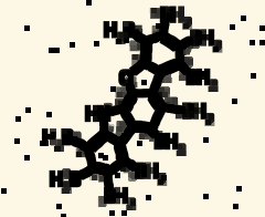 Bc1c(B)c(B)c2c([nH]c3c4oc5c(B)c(B)c(B)c(B)c5c4c(B)c(B)c32)c1B